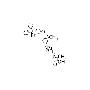 CCC(=C(c1ccccc1)c1ccc(OCCN(C)c2cccc(-c3cn(CCCn4ccc(=O)c(O)c4C)nn3)c2)cc1)c1ccccc1